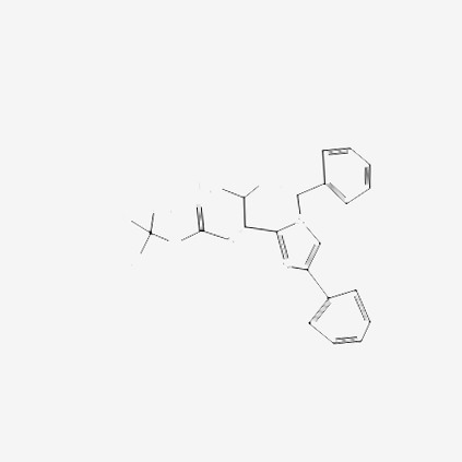 CC(C)[C@@H](NC(=O)OC(C)(C)C)c1nc(-c2ccccc2)cn1Cc1ccccc1